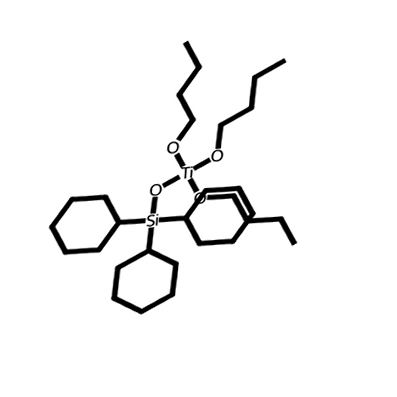 CCCC[O][Ti]([O]CCCC)([O]CCCC)[O][Si](C1CCCCC1)(C1CCCCC1)C1CCCCC1